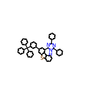 c1ccc(C2=NC(c3cc(-c4cccc(C(c5ccccc5)(c5ccccc5)c5ccccc5)c4)cc4sc5ccccc5c34)NC(c3ccccc3)=N2)cc1